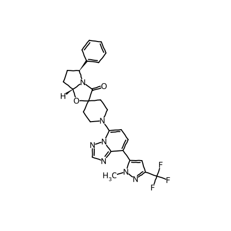 Cn1nc(C(F)(F)F)cc1-c1ccc(N2CCC3(CC2)O[C@@H]2CC[C@@H](c4ccccc4)N2C3=O)n2ncnc12